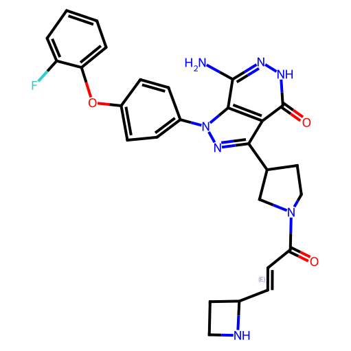 Nc1n[nH]c(=O)c2c(C3CCN(C(=O)/C=C/C4CCN4)C3)nn(-c3ccc(Oc4ccccc4F)cc3)c12